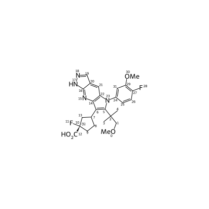 COCC(C)(C)c1c(C2CC[C@@](F)(C(=O)O)C2)c2nc3[nH]ncc3cc2n1-c1ccc(F)c(OC)c1